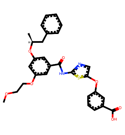 COCCOc1cc(O[C@@H](C)Cc2ccccc2)cc(C(=O)Nc2ncc(Oc3cccc(C(=O)O)c3)s2)c1